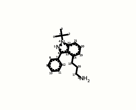 CC(C)(C)n1nc(-c2ccccc2)c2c(CCCN)cccc21